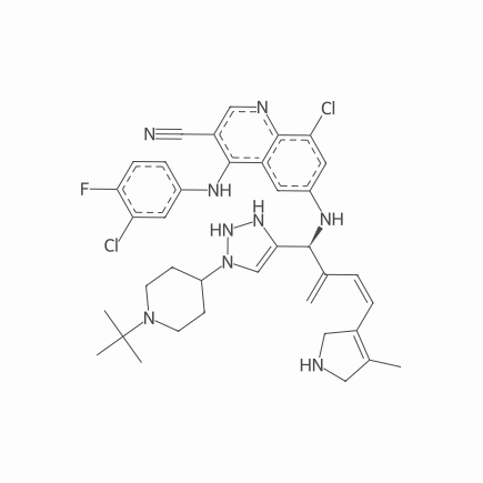 C=C(/C=C\C1=C(C)CNC1)[C@H](Nc1cc(Cl)c2ncc(C#N)c(Nc3ccc(F)c(Cl)c3)c2c1)C1=CN(C2CCN(C(C)(C)C)CC2)NN1